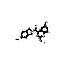 COc1ccc2c(c1)CN(C(=O)c1nc(N)nc3ccc(C)cc13)C2